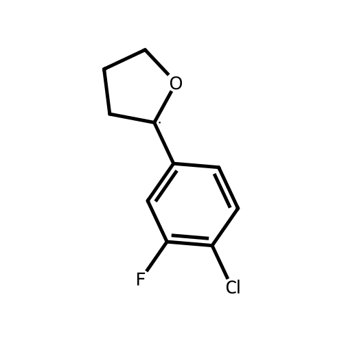 Fc1cc([C]2CCCO2)ccc1Cl